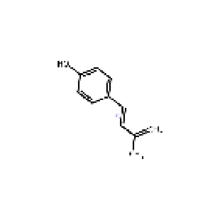 C=C(C)/C=C/c1ccc(O)cc1